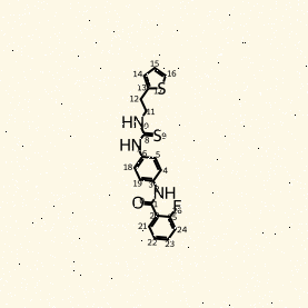 O=C(Nc1ccc(NC(=S)NCCc2cccs2)cc1)c1ccccc1F